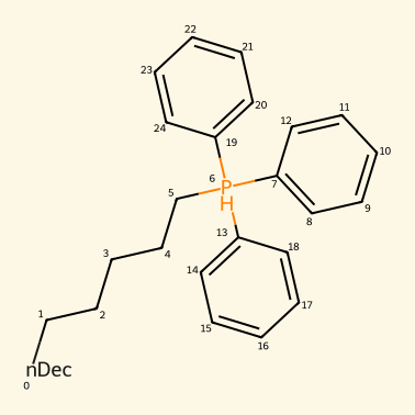 CCCCCCCCCCCCCCC[PH](c1ccccc1)(c1ccccc1)c1ccccc1